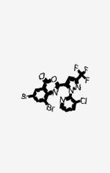 O=c1oc(-c2cc(C(F)(F)F)nn2-c2ncccc2Cl)nc2c(Br)cc(Br)cc12